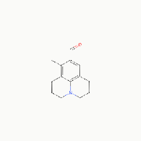 Cc1c(C=O)cc2c3c1CCCN3CCC2